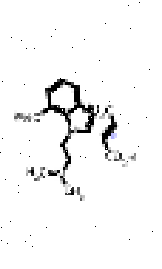 COc1cccc2ccn(CCN(C)C)c12.O=C(O)/C=C/C(=O)O